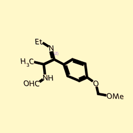 CC/N=C(/c1ccc(OCOC)cc1)C(C)NC=O